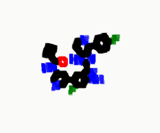 O=C(Nc1cncc(-c2cc3c(-c4nc5c(-c6ccc(F)cc6)nccc5[nH]4)n[nH]c3cc2F)c1)C1CCC1